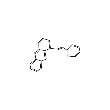 C(=Cc1cccc2nc3ccccc3cc12)c1ccccc1